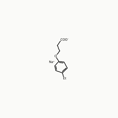 CCc1ccc(OCCC(=O)[O-])cc1.[Na+]